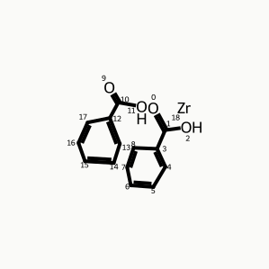 O=C(O)c1ccccc1.O=C(O)c1ccccc1.[Zr]